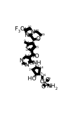 Cc1sc(C(=O)c2cncnc2N[C@@H]2C[C@H](COS(N)(=O)=O)[C@@H](O)C2)cc1[C@H]1OCCn2cc(C(F)(F)F)nc21